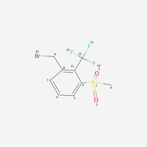 CS(=O)(=O)c1cccc(CBr)c1C(F)(F)F